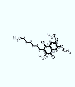 CCCCCCCC1=C(C)C(=O)c2cc(OC)c(OC)cc2C1=O